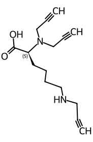 C#CCNCCCC[C@@H](C(=O)O)N(CC#C)CC#C